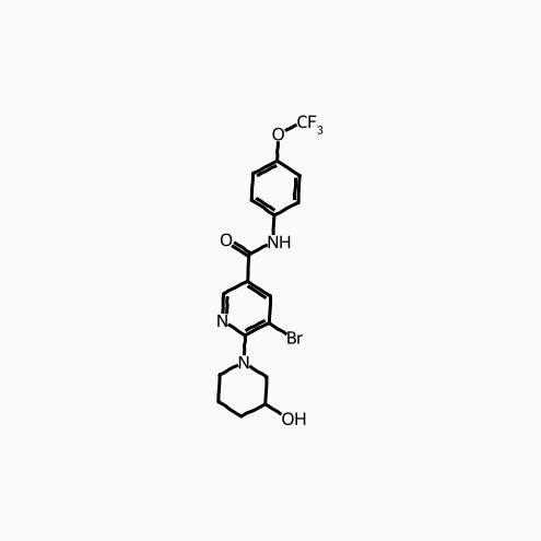 O=C(Nc1ccc(OC(F)(F)F)cc1)c1cnc(N2CCCC(O)C2)c(Br)c1